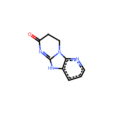 O=C1[C]CN2C(=N1)Nc1cccnc12